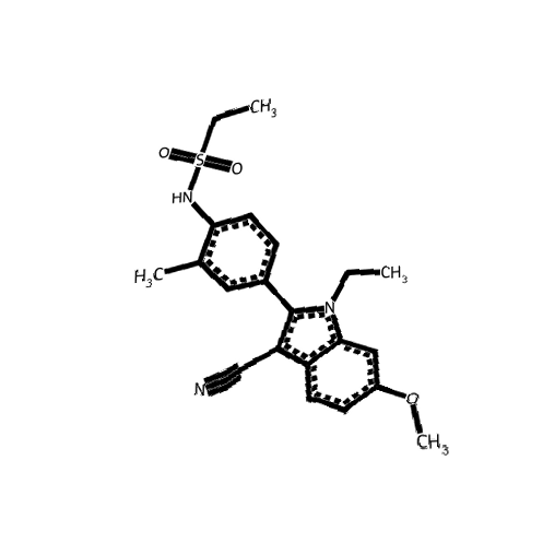 CCn1c(-c2ccc(NS(=O)(=O)CC)c(C)c2)c(C#N)c2ccc(OC)cc21